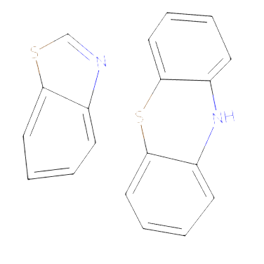 c1ccc2c(c1)Nc1ccccc1S2.c1ccc2scnc2c1